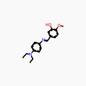 CCN(CC)c1ccc(N=Cc2ccc(OC)c(O)c2)cc1